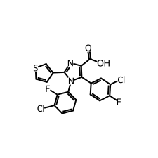 O=C(O)c1nc(-c2ccsc2)n(-c2cccc(Cl)c2F)c1-c1ccc(F)c(Cl)c1